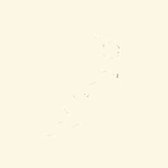 N/C(=C\C=C(/N)NC(=O)CN1CCCC(C=O)=C1C=O)c1cccc(C(F)(F)F)c1